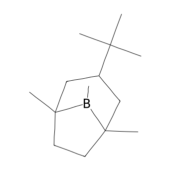 CB1C2(C)CCC1(C)CC(C(C)(C)C)C2